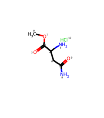 COC(=O)C(N)CC(N)=O.Cl